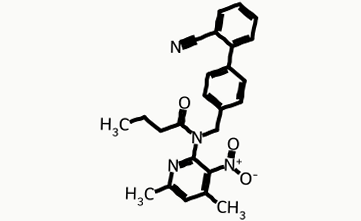 CCCC(=O)N(Cc1ccc(-c2ccccc2C#N)cc1)c1nc(C)cc(C)c1[N+](=O)[O-]